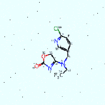 O=C1N=C(N(Cc2ccc(Cl)nc2)CC(F)(F)F)CO1